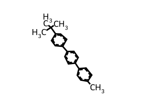 Cc1ccc(-c2ccc(-c3ccc(C(C)(C)C)cc3)cc2)cc1